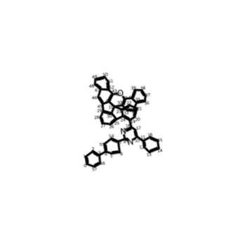 c1ccc(-c2ccc(-c3nc(-c4ccccc4)cc(-c4cccc5c4-c4cccc6c4C54c5ccc7ccccc7c5Oc5c4c-6cc4ccccc54)n3)cc2)cc1